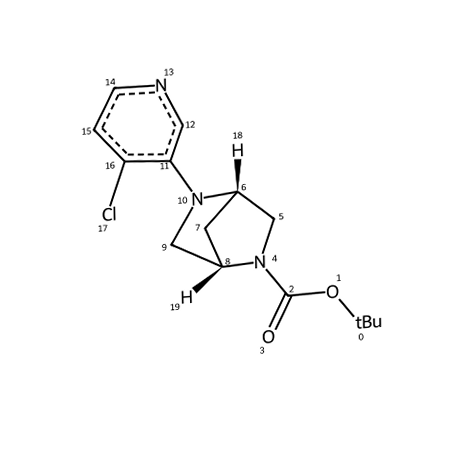 CC(C)(C)OC(=O)N1C[C@@H]2C[C@H]1CN2c1cnccc1Cl